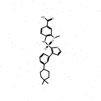 COc1cc(C(=O)O)ccc1NS(=O)(=O)c1sccc1-c1cccc(C2CCC(C)(C)CC2)c1